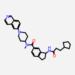 CN(C(=O)c1ccc2c(c1)C(NC(=O)CCC1CCCC1)CC2)C1CCN(c2ccc3cnccc3c2)CC1